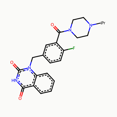 CC(C)N1CCN(C(=O)c2cc(Cn3c(=O)[nH]c(=O)c4ccccc43)ccc2F)CC1